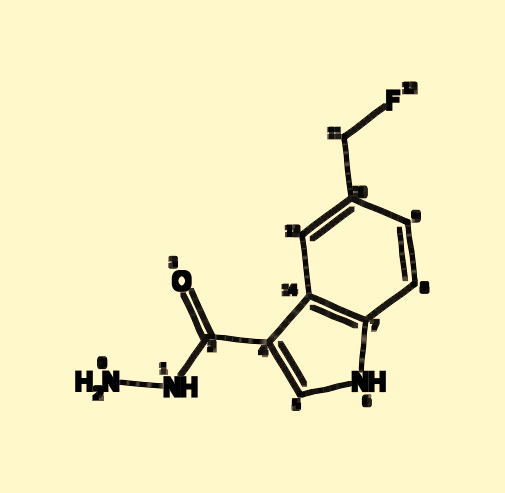 NNC(=O)c1c[nH]c2ccc(CF)cc12